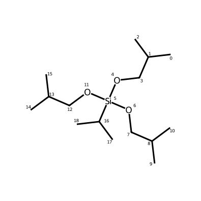 CC(C)CO[Si](OCC(C)C)(OCC(C)C)C(C)C